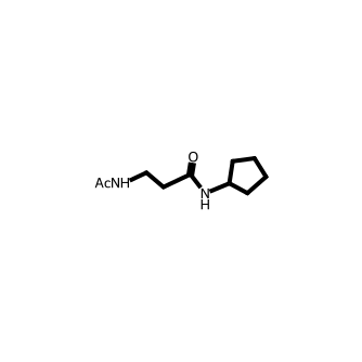 CC(=O)NCCC(=O)NC1CCCC1